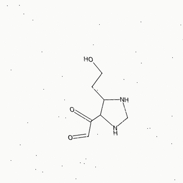 O=CC(=O)C1NCNC1CCO